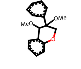 COC1c2ccccc2OCC1(OC)c1ccccc1